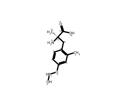 Cc1cc(OBO)ccc1C[C@@](C)(N)C(=O)O